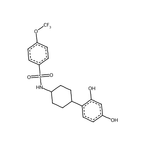 O=S(=O)(NC1CCC(c2ccc(O)cc2O)CC1)c1ccc(OC(F)(F)F)cc1